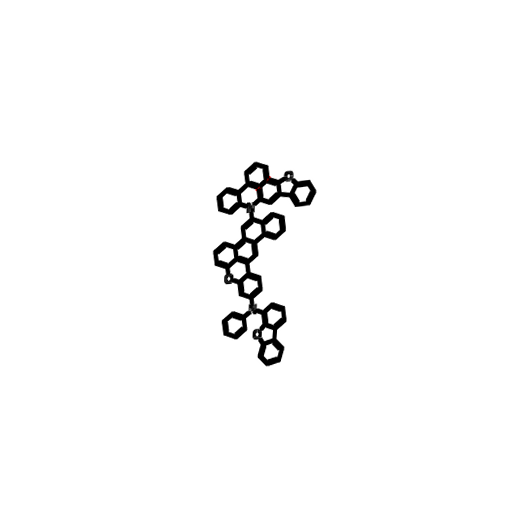 c1ccc(-c2ccccc2N(c2ccc3oc4ccccc4c3c2)c2cc3c4cccc5c4c(cc3c3ccccc23)-c2ccc(N(c3ccccc3)c3cccc4c3oc3ccccc34)cc2O5)cc1